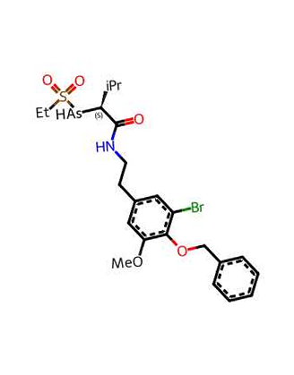 CCS(=O)(=O)[AsH][C@H](C(=O)NCCc1cc(Br)c(OCc2ccccc2)c(OC)c1)C(C)C